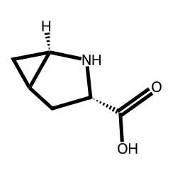 O=C(O)[C@@H]1CC2C[C@H]2N1